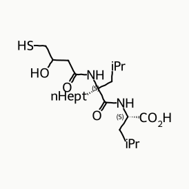 CCCCCCC[C@@](CC(C)C)(NC(=O)CC(O)CS)C(=O)N[C@@H](CC(C)C)C(=O)O